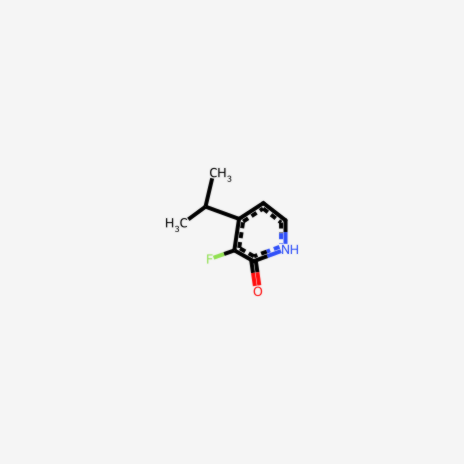 CC(C)c1cc[nH]c(=O)c1F